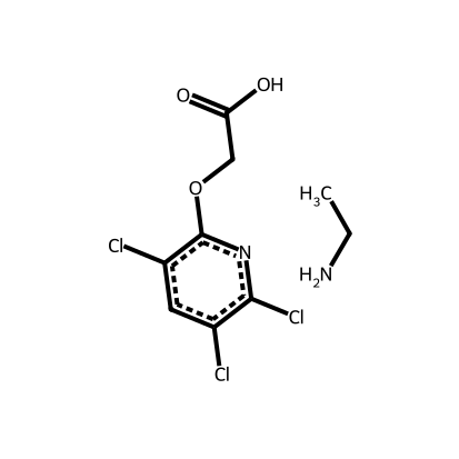 CCN.O=C(O)COc1nc(Cl)c(Cl)cc1Cl